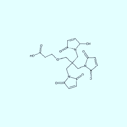 O=C(O)CCOCC(CN1C(=O)C=CC1=O)(CN1C(=O)C=CC1=O)CN1C(=O)C=CC1O